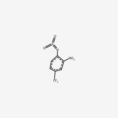 O=[N+]([O-])c1cc(C(F)(F)F)ccc1N=S(=O)=O